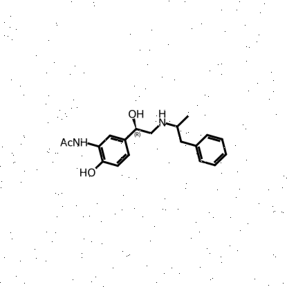 CC(=O)Nc1cc([C@@H](O)CNC(C)Cc2ccccc2)ccc1O